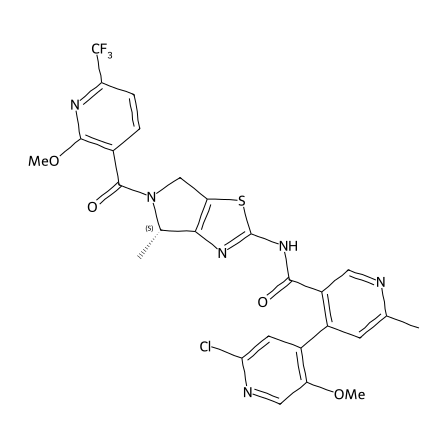 COc1cnc(Cl)cc1-c1cc(C)ncc1C(=O)Nc1nc2c(s1)CN(C(=O)c1ccc(C(F)(F)F)nc1OC)[C@H]2C